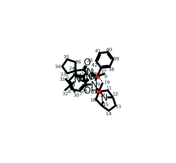 Cc1nc2ccccc2n1C1CC2CCC(C1)N2CC[C@H](NC(=O)C1(N(C(=O)O)C(C)(C)C)CCCC1)c1ccccc1